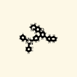 c1ccc(-c2nc(-c3ccccc3)nc(-c3ccc(-c4cc(-c5ccc6ccccc6c5)cc5oc6cc7cccnc7cc6c45)cc3)n2)cc1